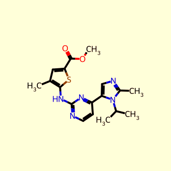 COC(=O)c1cc(C)c(Nc2nccc(-c3cnc(C)n3C(C)C)n2)s1